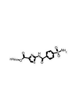 CCCCCCOC(=O)c1csc(NC(=O)c2ccc(S(N)(=O)=O)cc2)n1